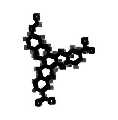 O=C(Cl)c1ccc2nc3c4nc5ccc(OCCl)cc5nc4c4nc5cc(C(=O)Cl)ccc5nc4c3nc2c1